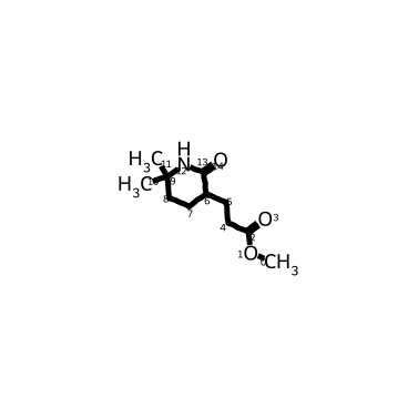 COC(=O)CCC1CCC(C)(C)NC1=O